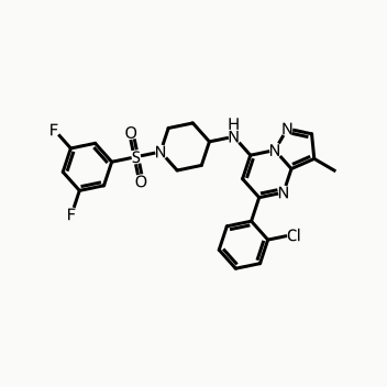 Cc1cnn2c(NC3CCN(S(=O)(=O)c4cc(F)cc(F)c4)CC3)cc(-c3ccccc3Cl)nc12